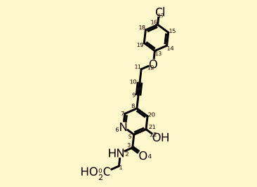 O=C(O)CNC(=O)c1ncc(C#CCOc2ccc(Cl)cc2)cc1O